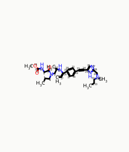 C=C(CN(CCC)C(=O)CNC(=O)OC)N/C(=C\C)c1ccc(C#Cc2cnc(CN(C)CCC)[nH]2)cc1